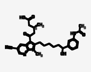 CC(=O)Nc1cccc(C(O)CCCCCc2c(C(=O)C[C@H](C)CC(=O)O)c3cc(C#N)cnc3n2C)c1